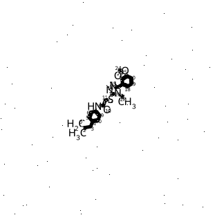 C=C(C)Cc1ccc(NC(=O)CSc2nnc(-c3cccc4c3OCO4)n2CC)cc1